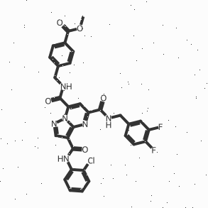 COC(=O)c1ccc(CNC(=O)c2cc(C(=O)NCc3ccc(F)c(F)c3)nc3c(C(=O)Nc4ccccc4Cl)cnn23)cc1